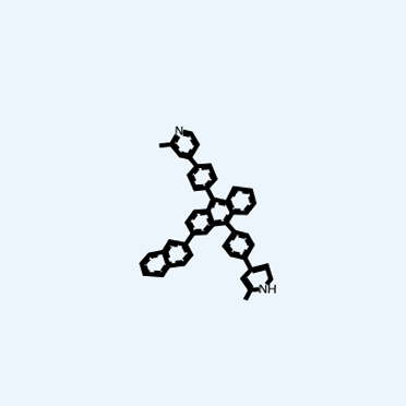 CC1=CC(c2ccc(-c3c4ccccc4c(-c4ccc(-c5ccnc(C)c5)cc4)c4ccc(-c5ccc6ccccc6c5)cc34)cc2)=CCN1